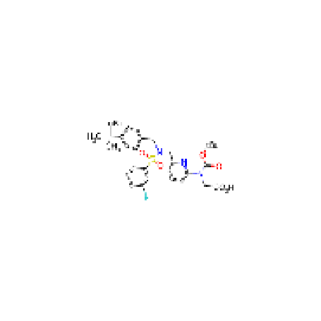 CCCCC(C)(C)c1ccc(CN(Cc2cccc(N(CC(=O)O)C(=O)OC(C)(C)C)n2)S(=O)(=O)c2cccc(F)c2)cc1